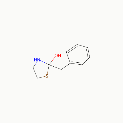 OC1(Cc2ccccc2)NCCS1